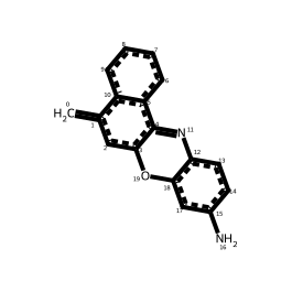 C=c1cc2c(c3ccccc13)=Nc1ccc(N)cc1O2